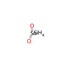 [O]=[Sn]=[O].[SiH4]